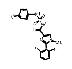 Cn1cc(C(=O)NS(=O)(=O)Nc2ccc(Cl)cc2)nc1-c1c(F)cccc1F